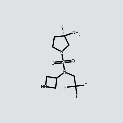 C[C@@]1(N)CCN(S(=O)(=O)N(CC(F)(F)F)C2CNC2)C1